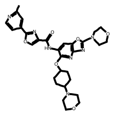 Cc1cc(-c2nc(C(=O)Nc3cc4oc(N5CCOCC5)nc4nc3OC3CCC(N4CCOCC4)CC3)co2)ccn1